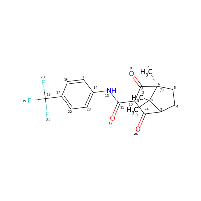 CC1(C)C2CC[C@]1(C)C(=O)C(C(=O)Nc1ccc(C(F)(F)F)cc1)C2=O